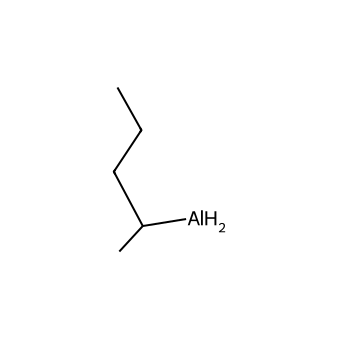 CCC[CH](C)[AlH2]